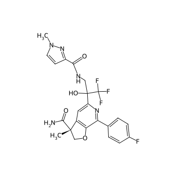 Cn1ccc(C(=O)NCC(O)(c2cc3c(c(-c4ccc(F)cc4)n2)OC[C@]3(C)C(N)=O)C(F)(F)F)n1